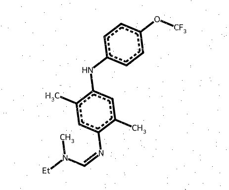 CCN(C)/C=N\c1cc(C)c(Nc2ccc(OC(F)(F)F)cc2)cc1C